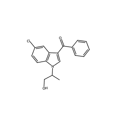 CC(CO)n1cc(C(=O)c2ccccc2)c2cc(Cl)ccc21